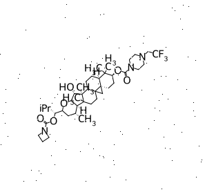 CC(C)[C@@H](OC(=O)N1CCC1)C1C[C@@H](C)[C@H]2C(O1)[C@H](O)[C@@]1(C)C3CC[C@H]4C(C)(C)[C@@H](OC(=O)N5CCN(CC(F)(F)F)CC5)CC[C@@]45CC35CC[C@]21C